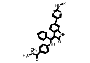 CC(C)Nc1ncc(-c2ccc3c(c2)NC(=O)/C3=C(\Nc2ccc(C(=O)N(C)C)cc2)c2ccccc2)cn1